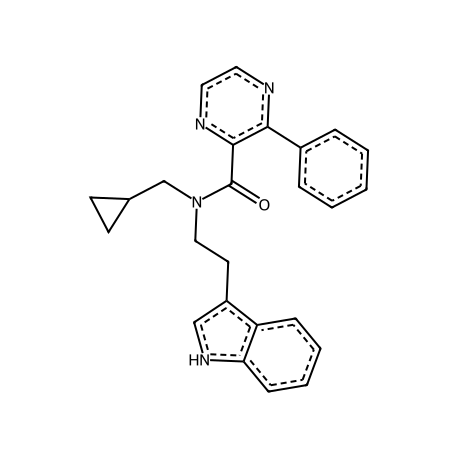 O=C(c1nccnc1-c1ccccc1)N(CCc1c[nH]c2ccccc12)CC1CC1